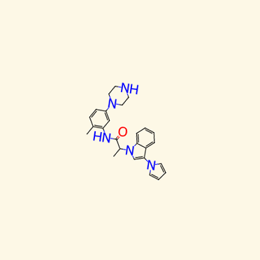 Cc1ccc(N2CCNCC2)cc1NC(=O)C(C)n1cc(-n2cccc2)c2ccccc21